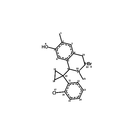 Br.Cc1cc2c(cc1O)C(C1(c3ccccc3Cl)CC1)N(C)CC2